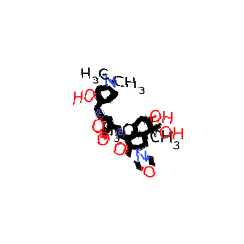 CN(C)c1ccc(/C=C2C=C(/C=C/C3C4(CO4)C(N4CCOCC4)CC4[C@]3(C)CC[C@@H](O)[C@@]4(C)CO)C(=O)O\2)c(O)c1